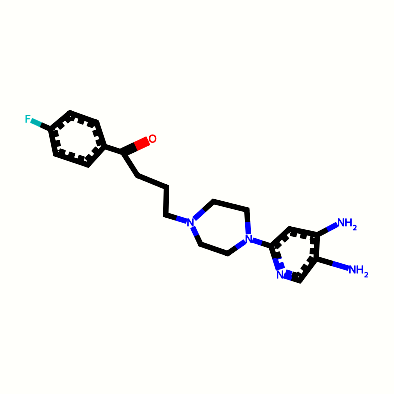 Nc1cnc(N2CCN(CCCC(=O)c3ccc(F)cc3)CC2)cc1N